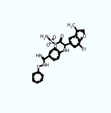 CCc1cc(C(Nc2ccc(C(=N)NOc3ccccc3)cc2)C(=O)NS(N)(=O)=O)cc2c(C)coc12